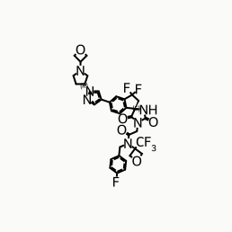 O=C1N[C@]2(CC(F)(F)c3cc(-c4cnn([C@@H]5CCN(C6COC6)C5)c4)ccc32)C(=O)N1CC(=O)N(Cc1ccc(F)cc1)C1(C(F)(F)F)COC1